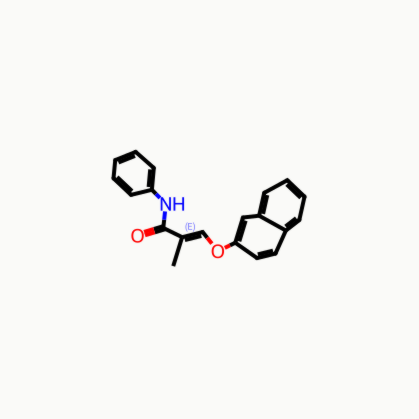 C/C(=C\Oc1ccc2ccccc2c1)C(=O)Nc1ccccc1